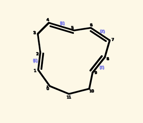 [CH]1/C=C/C/C=C/C=C\C=C\CC1